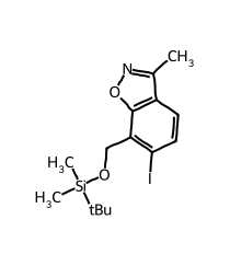 Cc1noc2c(CO[Si](C)(C)C(C)(C)C)c(I)ccc12